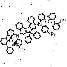 CC(C)c1ccc(N(c2cc3c(c4ccccc24)-c2c(cc(N(c4ccc(C(C)C)cc4)c4cccc5c4oc4c(-c6ccccc6C(C)C)cccc45)c4ccccc24)C3(c2ccccc2)c2ccccc2)c2cccc3c2oc2c(-c4ccccc4C(C)C)cccc23)cc1